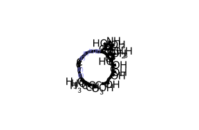 CC1/C=C/C=C/CC/C=C/C=C/C=C/C=C/C(OC2OC(C)C(O)C(N)C2O)CC2OC(O)(CC(O)CC(O)C(O)CCC(O)CC(O)CC(=O)OC(C)C(C)C1O)CC(O)C2C(=O)O